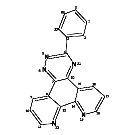 c1ccc(-c2nnc3c4cccnc4c4ncccc4c3n2)cc1